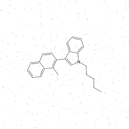 CCCCCn1cc(-c2ccc3ccccc3c2C)c2ccccc21